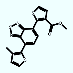 COC(=O)c1ccsc1-c1ccc(-c2sccc2C)c2nsnc12